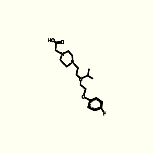 CC(C)N(CCOc1ccc(F)cc1)CCN1CCN(CC(=O)O)CC1